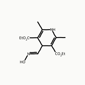 CCOC(=O)C1=C(C)NC(C)=C(C(=O)OCC)C1C=NO